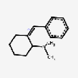 CN(C)C1CCCC/C1=C/c1ccccc1